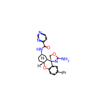 CC(C)c1ccc2c(c1)[C@]1(COC(N)=N1)[C@@H]1C[C@H](NC(=O)c3ccncn3)CC[C@H]1O2